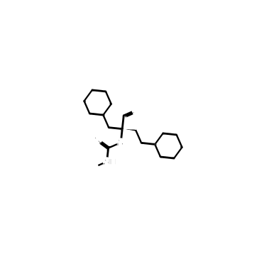 CNC(=N)N[C@](C=O)(CCC1CCCCC1)CC1CCCCC1